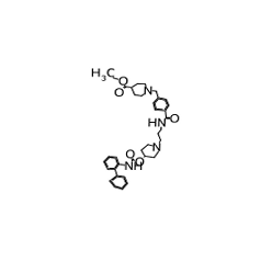 CCOC(=O)C1CCN(Cc2ccc(C(=O)NCCCN3CCC(OC(=O)Nc4ccccc4-c4ccccc4)CC3)cc2)CC1